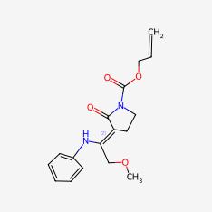 C=CCOC(=O)N1CC/C(=C(\COC)Nc2ccccc2)C1=O